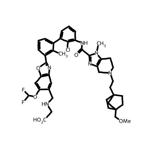 COCC12CCC(CCN3CCc4c(nc(C(=O)Nc5cccc(-c6cccc(-c7nc8cc(CNCC(=O)O)c(OC(F)F)cc8o7)c6C)c5Cl)n4C)C3)(CC1)C2